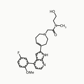 COc1ccc(F)cc1-c1ccnc2[nH]c(C3=CCCN(CC(=O)N(C)CCO)CC3)cc12